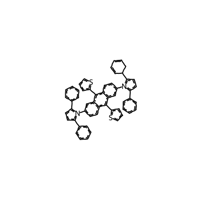 C1=CCC(c2ccc(-c3ccccc3)n2-c2ccc3c(-c4cccs4)c4cc(-n5c(-c6ccccc6)ccc5-c5ccccc5)ccc4c(-c4cccs4)c3c2)C=C1